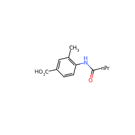 CCCC(=O)Nc1ccc(C(=O)O)cc1C